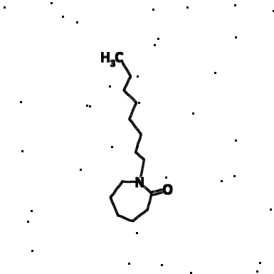 CCCCCCCCN1CCCCCC1=O